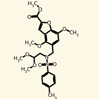 COC(=O)c1cc2c(OC)c(CN(CC(OC)OC)S(=O)(=O)c3ccc(C)cc3)cc(OC)c2o1